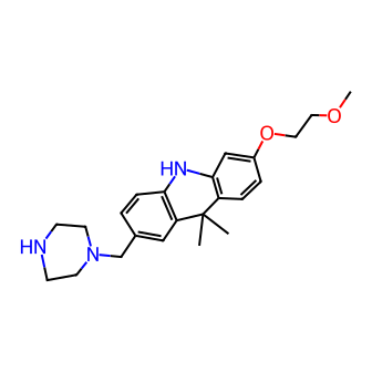 COCCOc1ccc2c(c1)Nc1ccc(CN3CCNCC3)cc1C2(C)C